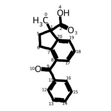 CC1(C(=O)O)CCc2c(C(=O)c3ccccc3)cccc21